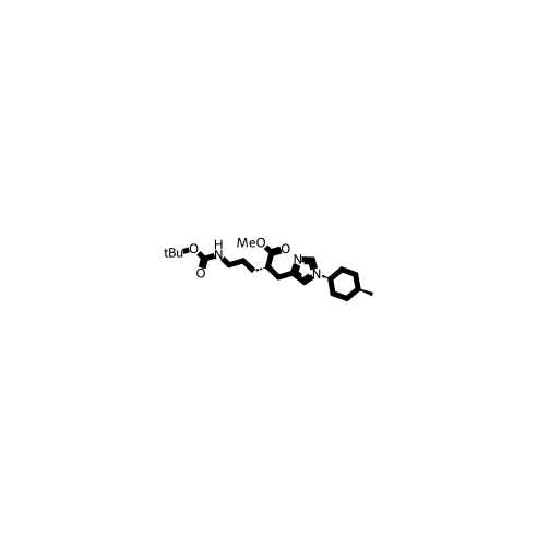 COC(=O)[C@@H](CCCNC(=O)OC(C)(C)C)Cc1cn([C@H]2CC[C@H](C)CC2)cn1